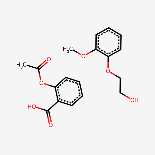 CC(=O)Oc1ccccc1C(=O)O.COc1ccccc1OCCO